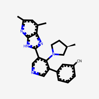 Cc1cc(C)c2nc(-c3cncc(-c4cccc(C#N)c4)c3N3CC[C@@H](C)C3)[nH]c2n1